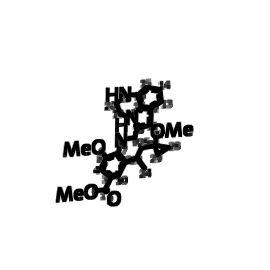 COC(=O)c1cc(OC)c(NCc2cc3cccc4c3n2CCN4)c(C(C)CC2(OC)CC2)c1